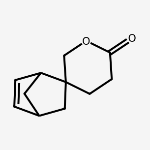 O=C1CCC2(CO1)CC1C=CC2C1